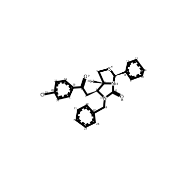 O=C(C[C@H]1[C@@H]2CS[C@@H](c3ccccc3)N2C(=O)N1Cc1ccccc1)c1ccc(Cl)cc1